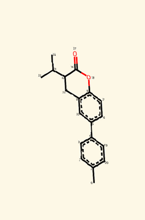 Cc1ccc(-c2ccc3c(c2)CC(C(C)C)C(=O)O3)cc1